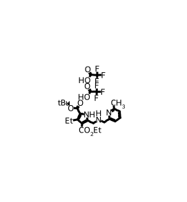 CCOC(=O)c1c(CNCc2cccc(C)n2)[nH]c(C(=O)OC(C)(C)C)c1CC.O=C(O)C(F)(F)F.O=C(O)C(F)(F)F